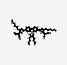 CCCCCCc1c/c(=c2\ccc3c(c2)[Si](CCCCCC)(CCCCCC)c2c/c(=c4/cc(CCCCCC)c(=C(C#N)C#N)s4)ccc2=3)sc1=C(C#N)C#N